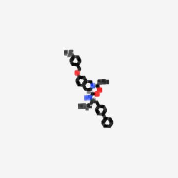 CC(C)COC(=O)N1Cc2cc(OCc3ccc(C(F)(F)F)cc3)ccc2C[C@H]1C(=O)N[C@@H](Cc1ccc(-c2ccccc2)cc1)C(=O)O